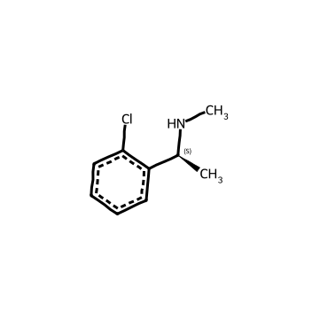 CN[C@@H](C)c1ccccc1Cl